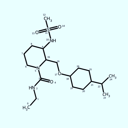 CCNC(=O)N1CCCC(NS(C)(=O)=O)C1COC1CCC(C(C)C)CC1